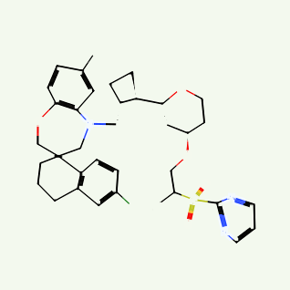 CC(CO[C@@H]1CCO[C@@H]([C@@H]2CC[C@H]2CN2CC3(CCCc4cc(Cl)ccc43)COc3ccc(C(=O)O)cc32)C1)S(=O)(=O)c1ncccn1